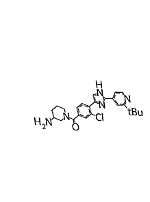 CC(C)(C)c1cc(-c2nc(-c3ccc(C(=O)N4CCCC(N)C4)cc3Cl)c[nH]2)ccn1